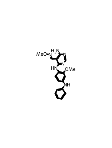 CON=Cc1c(N)ncnc1Nc1ccc(Nc2ccccc2)cc1OC